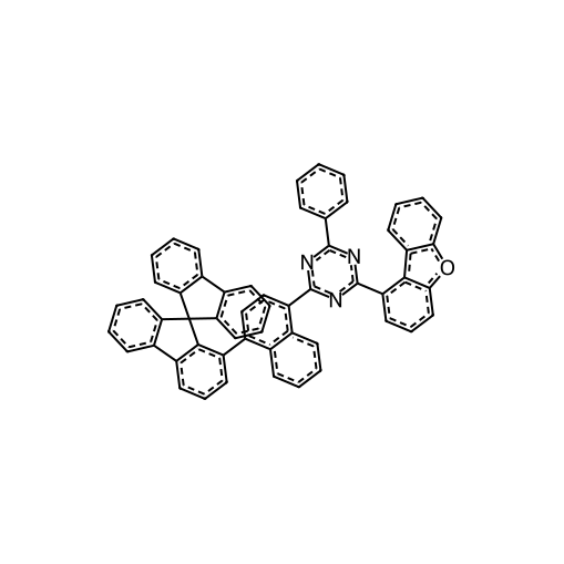 c1ccc(-c2nc(-c3ccc(-c4cccc5c4C4(c6ccccc6-c6ccccc64)c4ccccc4-5)c4ccccc34)nc(-c3cccc4oc5ccccc5c34)n2)cc1